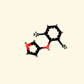 FC(F)(F)c1cccc(C(F)(F)F)c1Oc1c[c]oc1